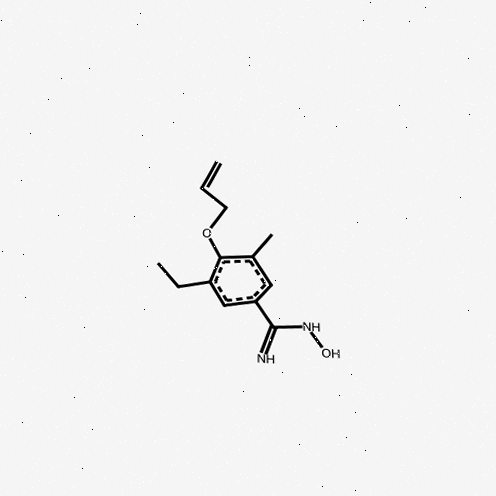 C=CCOc1c(C)cc(C(=N)NO)cc1CC